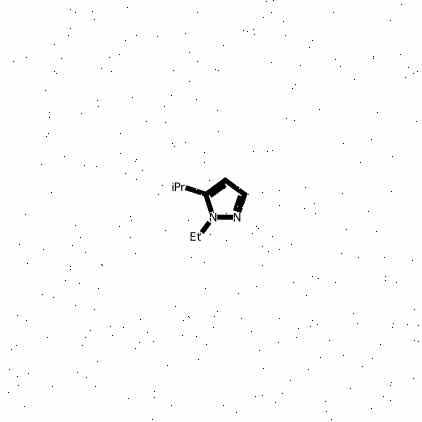 CCn1n[c]cc1C(C)C